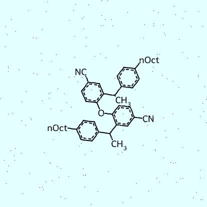 CCCCCCCCc1ccc(C(C)c2cc(C#N)ccc2Oc2ccc(C#N)cc2C(C)c2ccc(CCCCCCCC)cc2)cc1